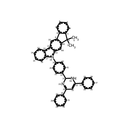 CC1(C)c2ccccc2-c2cc3c4ccccc4n(-c4ccc(C5N=C(c6ccccc6)C=C(c6ccccc6)N5)cc4)c3cc21